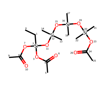 CC[Si](OC(C)=O)(OC(C)=O)O[Si](C)(C)O[Si](C)(C)O[Si](C)(C)OC(C)=O